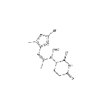 C/C(=N/c1sc(Br)cc1C)N(C=O)C1CCC(=O)NC1=O